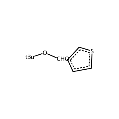 CC(C)(C)OC=O.c1ccsc1